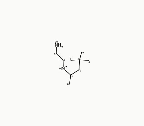 CC(CC(C)(C)C)NCCN